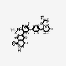 Nc1nc(F)c(-c2ccc(C3CCCCN3CC(F)F)cc2)cc1-c1ccc2c(c1)CCNC2=O